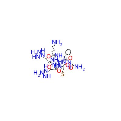 CSCC[C@H](NC(=O)[C@H](CCCNC(=N)N)NC(=O)[C@H](CCCNC(=N)N)NC(=O)[C@@H](N)CCCCN)C(=O)N[C@@H](Cc1ccccc1)C(=O)NCC(N)=O